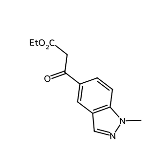 CCOC(=O)CC(=O)c1ccc2c(cnn2C)c1